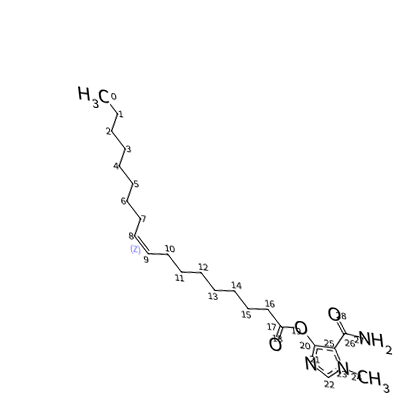 CCCCCCCC/C=C\CCCCCCCC(=O)Oc1ncn(C)c1C(N)=O